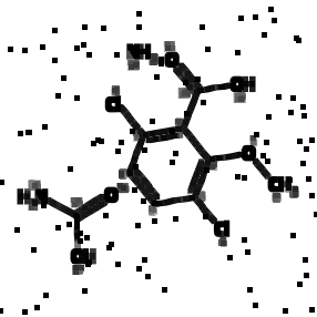 COc1c(Cl)ccc(Cl)c1C(=O)O.N.NC(=O)O